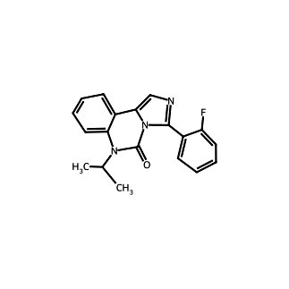 CC(C)n1c(=O)n2c(-c3ccccc3F)ncc2c2ccccc21